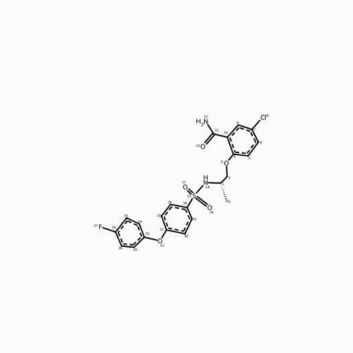 C[C@@H](COc1ccc(Cl)cc1C(N)=O)NS(=O)(=O)c1ccc(Oc2ccc(F)cc2)cc1